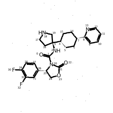 O=C(N[C@@]1([C@H]2CC[C@@H](c3ccccn3)CC2)CCNC1)N1C(=O)OC[C@@H]1c1ccc(F)c(F)c1